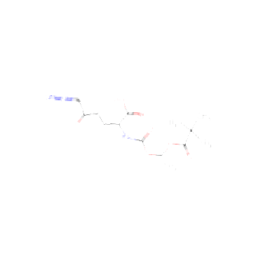 C[C@H](OC(=O)NC(CCC(=O)C=[N+]=[N-])C(=O)O)OC(=O)C(C)(C)C